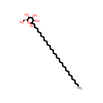 CCCCCCCCCCCCCCCCCCCCCCCCCCCCCC[C@@]1(O)O[C@H](CO)[C@@H](O)[C@H](O)[C@H]1O